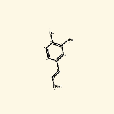 CCCCC/C=C/c1ccc(O)c(C(C)(C)C)c1